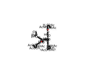 [C-]#[N+]CCOP(OCCOCCC(=O)N[C@@H](CCC(=O)N[C@@H](CCC(=O)NCCOCCOC1OC(COC(C)=O)C(OC(C)=O)C(C)C1NC(C)=O)C(=O)NCCOCCOC1OC(COC(C)=O)C(OC(C)=O)C(C)C1NC(C)=O)C(=O)NCCOCCOC1OC(COC(C)=O)C(OC(C)=O)C(C)C1NC(C)=O)N(C(C)C)C(C)C